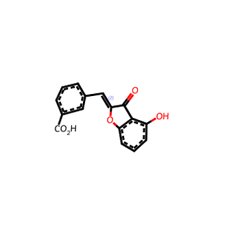 O=C(O)c1cccc(/C=C2\Oc3cccc(O)c3C2=O)c1